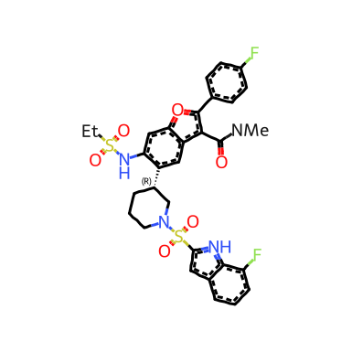 CCS(=O)(=O)Nc1cc2oc(-c3ccc(F)cc3)c(C(=O)NC)c2cc1[C@H]1CCCN(S(=O)(=O)c2cc3cccc(F)c3[nH]2)C1